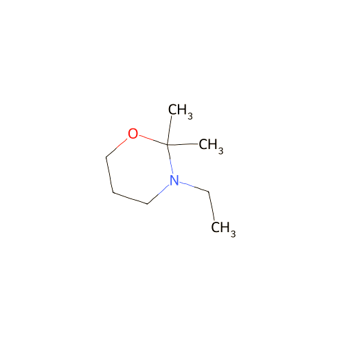 CCN1CCCOC1(C)C